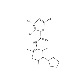 CC1=C(NC(=O)c2cc(Cl)cc(Cl)c2O)C(C)=C(N2CCCC2)C(C)C1